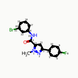 Cn1nc(-c2ccc(F)cc2)cc1C(=O)Nc1cccc(Br)c1